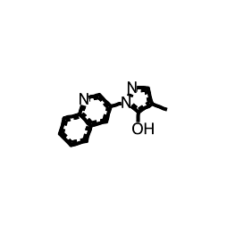 Cc1cnn(-c2cnc3ccccc3c2)c1O